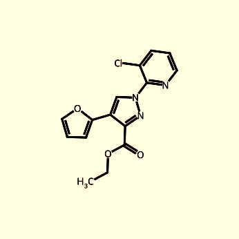 CCOC(=O)c1nn(-c2ncccc2Cl)cc1-c1ccco1